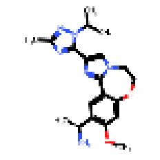 COc1cc2c(cc1[C@H](C)N)-c1nc(-c3nc(C)nn3C(C)C)cn1CCO2